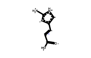 Nc1nc(/C=C/C(=O)O)c[nH]1